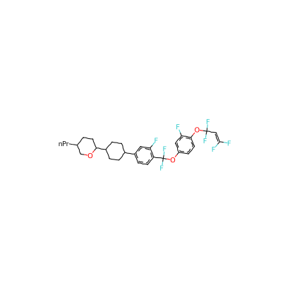 CCCC1CCC(C2CCC(c3ccc(C(F)(F)Oc4ccc(OC(F)(F)C=C(F)F)c(F)c4)c(F)c3)CC2)OC1